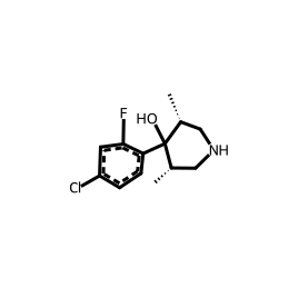 C[C@@H]1CNC[C@H](C)C1(O)c1ccc(Cl)cc1F